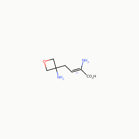 N/C(=C\CC1(N)COC1)C(=O)O